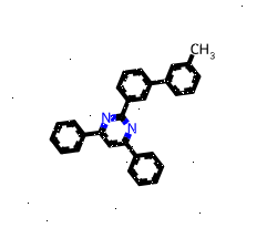 Cc1cccc(-c2cccc(-c3nc(-c4ccccc4)cc(-c4ccccc4)n3)c2)c1